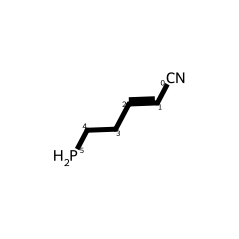 N#CC=CCCP